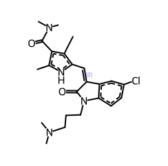 Cc1[nH]c(/C=C2\C(=O)N(CCCN(C)C)c3ccc(Cl)cc32)c(C)c1C(=O)N(C)C